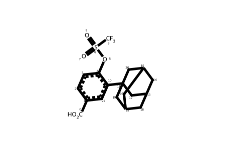 O=C(O)c1ccc(OS(=O)(=O)C(F)(F)F)c(C23CC4CC(CC(C4)C2)C3)c1